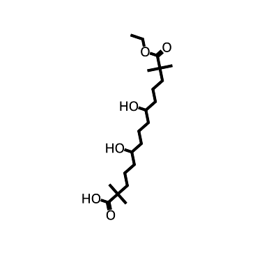 CCOC(=O)C(C)(C)CCCC(O)CCCC(O)CCCC(C)(C)C(=O)O